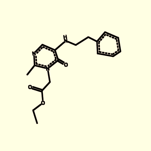 CCOC(=O)Cn1c(C)ncc(NCCc2ccccc2)c1=O